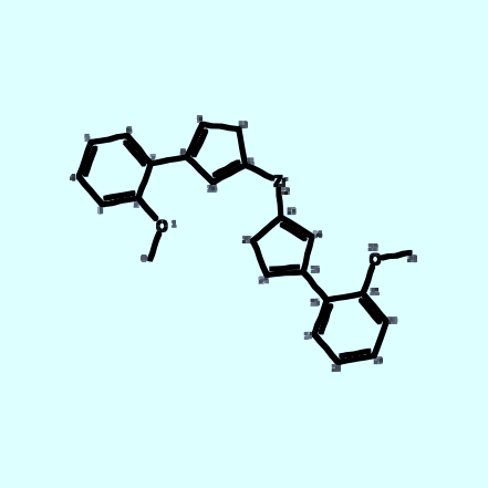 COc1ccccc1C1=CC[C]([Zr][C]2=CC(c3ccccc3OC)=CC2)=C1